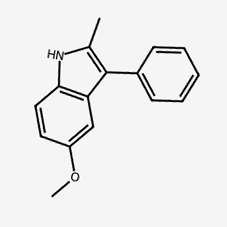 COc1ccc2[nH]c(C)c(-c3ccccc3)c2c1